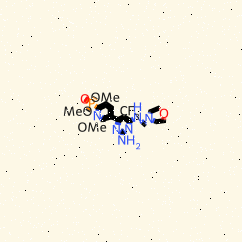 COc1nc(P(=O)(OC)OC)ccc1-c1nc(N)nc(NCN2CCOCC2)c1C(F)(F)F